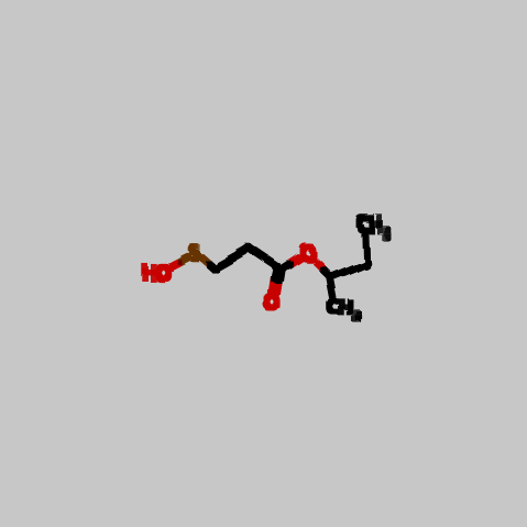 CCC(C)OC(=O)CCSO